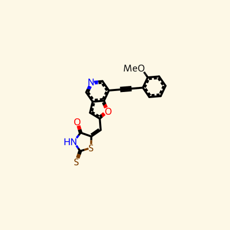 COc1ccccc1C#Cc1cncc2cc(C=C3SC(=S)NC3=O)oc12